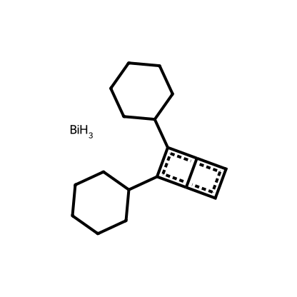 [BiH3].c1cc2c(C3CCCCC3)c(C3CCCCC3)c1-2